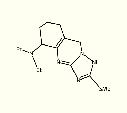 CCN(CC)C1CCCC2=C1N=C1N=C(SC)NN1C2